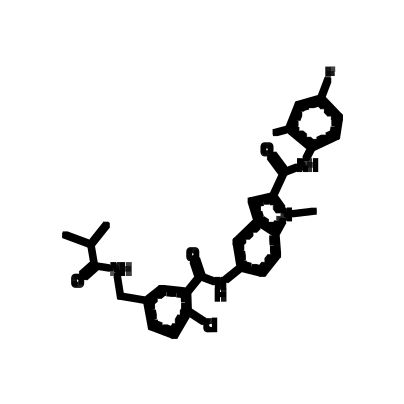 Cc1cc(F)ccc1NC(=O)c1cc2cc(NC(=O)c3cc(CNC(=O)C(C)C)ccc3Cl)ccc2n1C